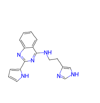 c1c[nH]c(-c2nc(NCCc3c[nH]cn3)c3ccccc3n2)c1